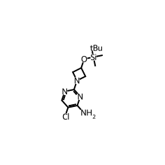 CC(C)(C)[Si](C)(C)OC1CN(c2ncc(Cl)c(N)n2)C1